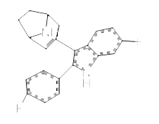 Fc1ccc(-c2[nH]c3cc(F)ccc3c2C2=CC3CCC(C2)N3)cc1